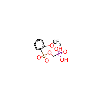 O=P(O)(O)COS(=O)(=O)c1ccccc1OC(F)(F)F